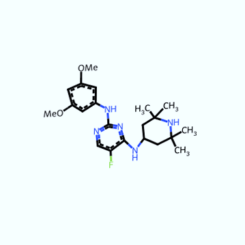 COc1cc(Nc2ncc(F)c(NC3CC(C)(C)NC(C)(C)C3)n2)cc(OC)c1